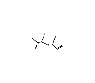 C=CC(I)OC(F)=C(F)F